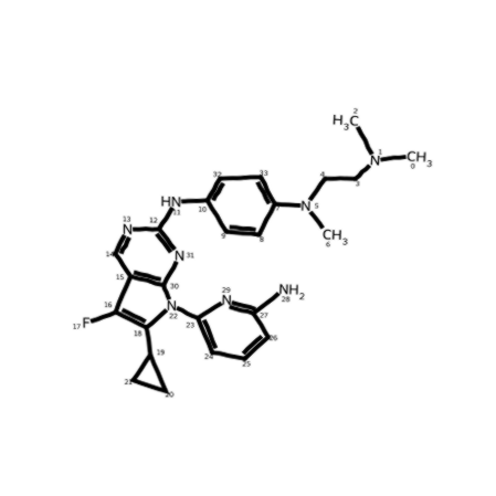 CN(C)CCN(C)c1ccc(Nc2ncc3c(F)c(C4CC4)n(-c4cccc(N)n4)c3n2)cc1